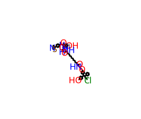 Cc1ncsc1-c1ccc(CNC(=O)[C@@H]2C[C@@H](O)CN2C(=O)C(NC(=O)CCCCCCCCCCCCC(=O)NCCOc2ccc(C(=C(CCCl)c3ccccc3)c3ccc(O)cc3)cc2)C(C)(C)C)cc1